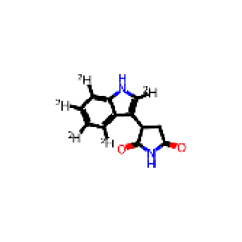 [2H]c1[nH]c2c([2H])c([2H])c([2H])c([2H])c2c1C1CC(=O)NC1=O